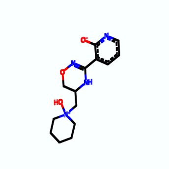 [O-]c1ncccc1C1=NOCC(C[N+]2(O)CCCCC2)N1